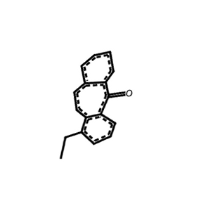 CCc1cccc2c(=O)c3ccccc3ccc12